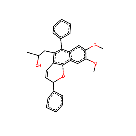 COc1cc2c3c(c(CC(C)O)c(-c4ccccc4)c2cc1OC)C=CC(c1ccccc1)O3